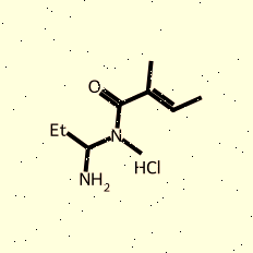 CC=C(C)C(=O)N(C)C(N)CC.Cl